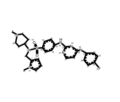 CN1CCC(N(Cc2cccn2C)S(=O)(=O)c2ccc(Nc3nccc(Nc4ccc(F)cc4)n3)cc2)CC1